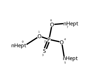 CCCCCCCOP(=S)(OCCCCCCC)OCCCCCCC